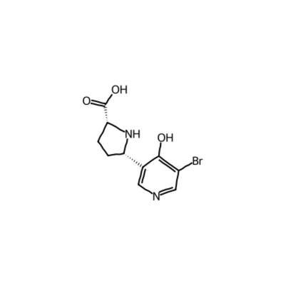 O=C(O)[C@H]1CC[C@@H](c2cncc(Br)c2O)N1